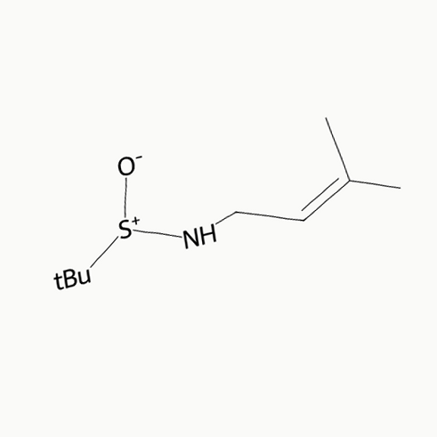 CC(C)=CCN[S+]([O-])C(C)(C)C